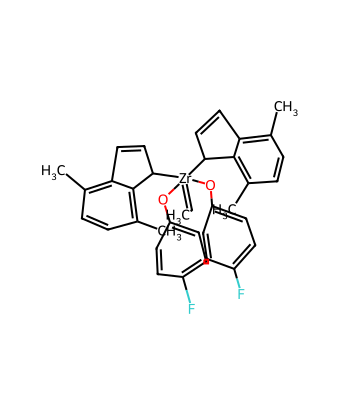 C[CH]=[Zr]([O]c1ccc(F)cc1)([O]c1ccc(F)cc1)([CH]1C=Cc2c(C)ccc(C)c21)[CH]1C=Cc2c(C)ccc(C)c21